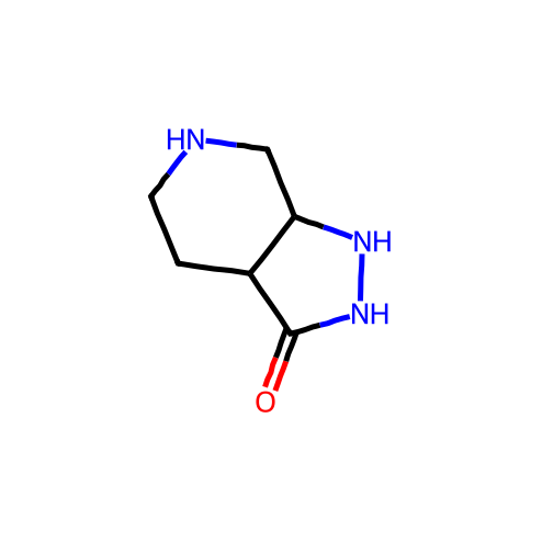 O=C1NNC2CNCCC12